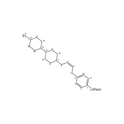 CCCCCc1ccc(C/C=C\CC2CCC(C3CCC(CC)CC3)CC2)cc1